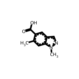 Cc1cc2c(cnn2C)cc1C(=O)O